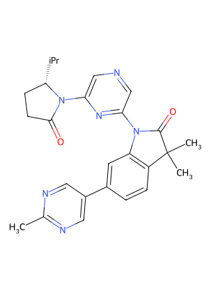 Cc1ncc(-c2ccc3c(c2)N(c2cncc(N4C(=O)CC[C@@H]4C(C)C)n2)C(=O)C3(C)C)cn1